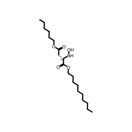 CCCCCCCCCCOC(=O)[C@H](CC(=O)OCCCCCC)NO